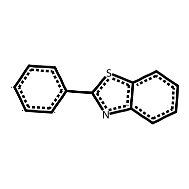 [c]1[c]ccc(-c2nc3ccccc3s2)[c]1